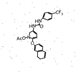 CC(=O)ON1CC(NC(=O)Nc2ccc(C(F)(F)F)cc2)=CC=C1Oc1ccc2c(c1)CCC=C2